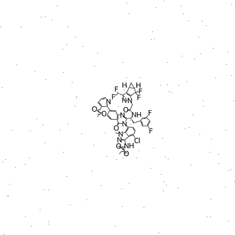 Cn1nc(NS(C)(=O)=O)c2c(Cl)ccc(-n3c([C@H](Cc4cc(F)cc(F)c4)NC(=O)Cn4nc(C(F)F)c5c4C(F)(F)[C@@H]4C[C@H]54)nc4cc(-c5ncccc5S(C)(=O)=O)ccc4c3=O)c21